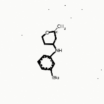 C[C@@H]1CC(Nc2cccc(C(C)(C)C)c2)CCO1